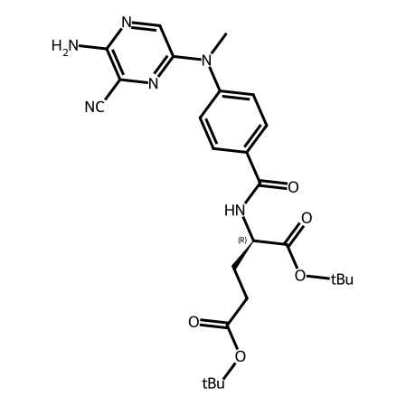 CN(c1ccc(C(=O)N[C@H](CCC(=O)OC(C)(C)C)C(=O)OC(C)(C)C)cc1)c1cnc(N)c(C#N)n1